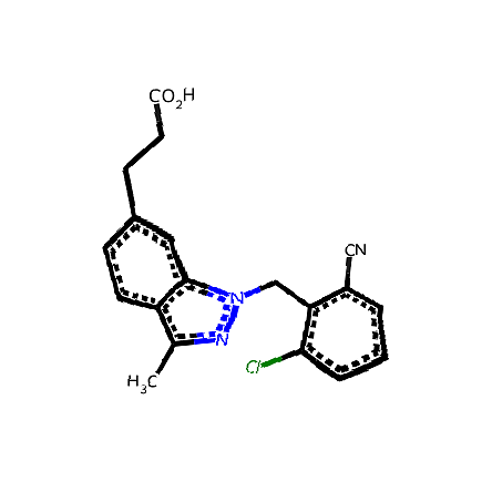 Cc1nn(Cc2c(Cl)cccc2C#N)c2cc(CCC(=O)O)ccc12